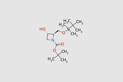 CC(C)(C)OC(=O)N1C[C@H](O)[C@H]1CO[Si](C)(C)C(C)(C)C